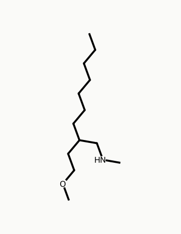 CCCCCCCC(CCOC)CNC